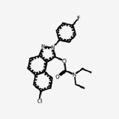 CCN(CC)C(=O)Oc1c2c(ccc3cc(Cl)ccc32)nn1-c1ccc(F)cc1